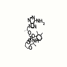 Cc1cccc(OP(=O)(CO[C@H](C)Cn2cnc3c(N)ncnc32)N[C@@H](C)C2OCCCO2)c1C